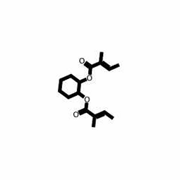 CC=C(C)C(=O)OC1CCCCC1OC(=O)C(C)=CC